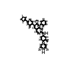 Cc1cc(C2CCCC2)ncc1-c1cc2cnc(Nc3ccc(N4C[C@@H](C)N[C@@H](C)C4)c(F)c3)nc2n(-c2ccccc2)c1=O